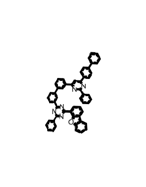 c1ccc(-c2ccc(-c3cc(-c4cccc(-c5cccc(-c6nc(-c7ccccc7)nc(-c7cccc8c7oc7ccccc78)n6)c5)c4)nc(-c4ccccc4)n3)cc2)cc1